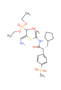 C=C(NC(=O)[C@H](CC1CCCC1)c1ccc(S(C)(=O)=O)cc1)S/C(=C\N)C(O)P(=O)(OCC)OCC